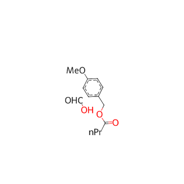 CCCC(=O)OCc1ccc(OC)cc1.O=CO